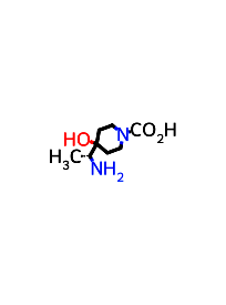 C[C@@H](N)C1(O)CCN(C(=O)O)CC1